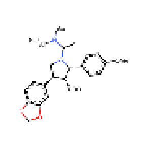 [CH]C(N(CCCC)CCCC)N1C[C@H](c2ccc3c(c2)OCO3)[C@H](C(=O)[O-])[C@H]1c1ccc(OC)cc1.[Na+]